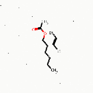 CCC=CCC.CCCCCCOC(C)=O